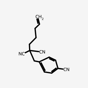 C=CCCCC(C#N)(C#N)Cc1ccc(C#N)cc1